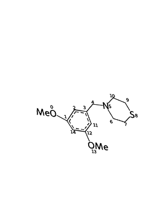 COc1cc(CN2CCSCC2)cc(OC)c1